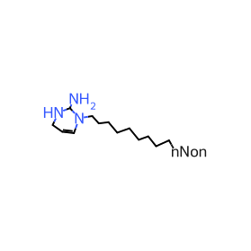 CCCCCCCCCCCCCCCCCCN1C=CCNC1N